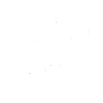 CCOc1cccc(C2=C(c3ccc(O[C@H]4CCN(CCCF)C4)cc3)c3ccc(OF)cc3CCC2)c1